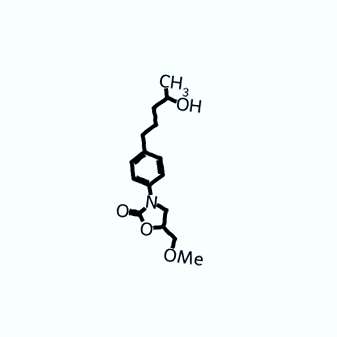 COCC1CN(c2ccc(CCCC(C)O)cc2)C(=O)O1